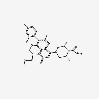 C=CC(=O)N1[C@H](C)CN(c2nc(=O)n3c4c(c(-c5ccc(C)cc5F)c(C)cc24)SC[C@@H]3COC)C[C@@H]1C